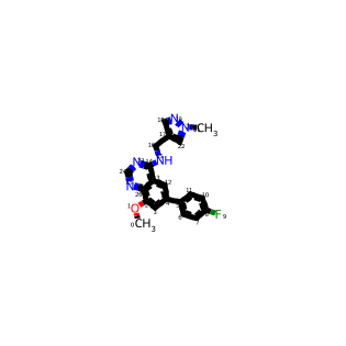 COc1cc(-c2ccc(F)cc2)cc2c(NCc3cnn(C)c3)ncnc12